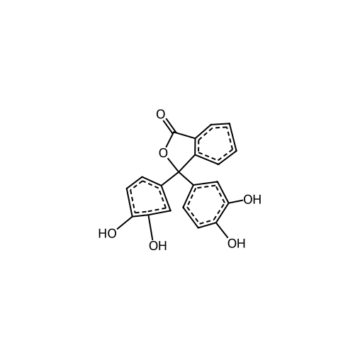 O=C1OC(c2ccc(O)c(O)c2)(c2ccc(O)c(O)c2)c2ccccc21